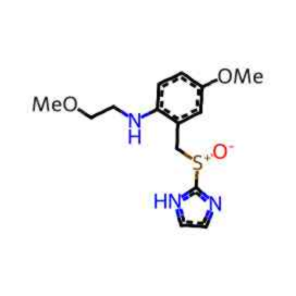 COCCNc1ccc(OC)cc1C[S+]([O-])c1ncc[nH]1